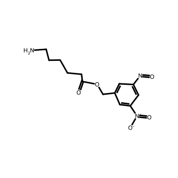 NCCCCCC(=O)OCc1cc(N=O)cc([N+](=O)[O-])c1